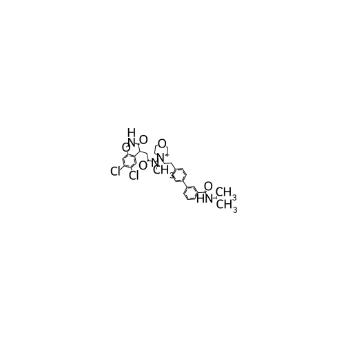 CC(C)NC(=O)c1cccc(-c2ccc(CC[N+]3(N(C)C(=O)CC4C(=O)NOc5cc(Cl)c(Cl)cc54)CCOCC3)cc2)c1